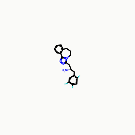 N[C@H](Cc1cc(F)c(F)cc1F)Cc1nnc2n1CCCc1ccccc1-2